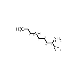 CCCNCCC[C@H](C)N